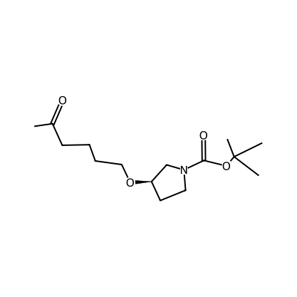 CC(=O)CCCCO[C@@H]1CCN(C(=O)OC(C)(C)C)C1